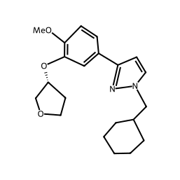 COc1ccc(-c2ccn(CC3CCCCC3)n2)cc1O[C@@H]1CCOC1